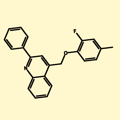 Cc1ccc(OCc2cc(-c3ccccc3)nc3ccccc23)c(F)c1